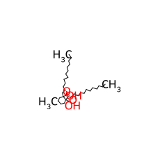 CCCCCCCCCCCCCC1(C(=O)O)CCC(C)CC1(CCCCCCCCCCCCC)C(=O)O